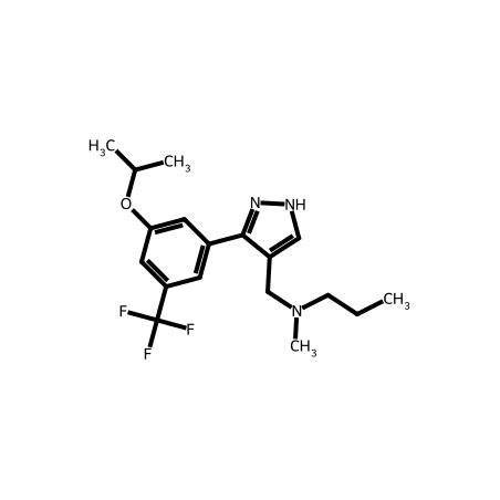 CCCN(C)Cc1c[nH]nc1-c1cc(OC(C)C)cc(C(F)(F)F)c1